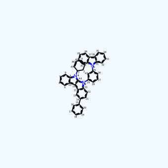 C1=CCC(n2c3ccccc3c3c4cc(-c5ccccc5)ccc4n(-c4cccc(-n5c6ccccc6c6ccccc65)c4)c32)C=C1